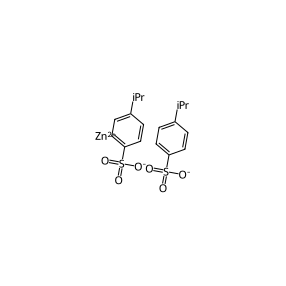 CC(C)c1ccc(S(=O)(=O)[O-])cc1.CC(C)c1ccc(S(=O)(=O)[O-])cc1.[Zn+2]